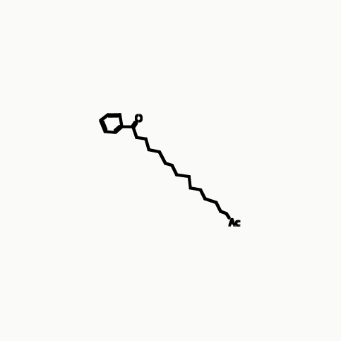 CC(=O)CCCCCCCCCCCCCCC(=O)c1ccccc1